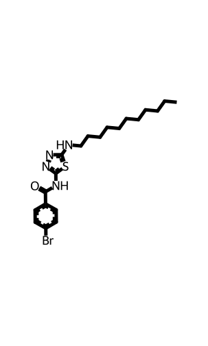 CCCCCCCCCCCNc1nnc(NC(=O)c2ccc(Br)cc2)s1